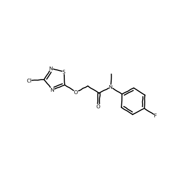 CN(C(=O)COc1nc(Cl)ns1)c1ccc(F)cc1